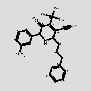 Cc1cccc(C2NC(CCCc3ccccc3)C(C#N)=C(C(F)(F)F)C2=O)c1